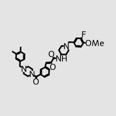 COc1ccc(CN2CCC(NC(=O)c3cc4cc(C(=O)N5CCN(Cc6ccc(C)c(C)c6)CC5)ccc4o3)CC2)cc1F